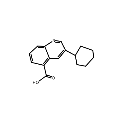 O=C(O)c1cccc2ncc(C3CCCCC3)cc12